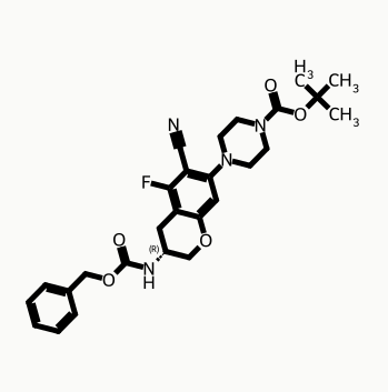 CC(C)(C)OC(=O)N1CCN(c2cc3c(c(F)c2C#N)C[C@@H](NC(=O)OCc2ccccc2)CO3)CC1